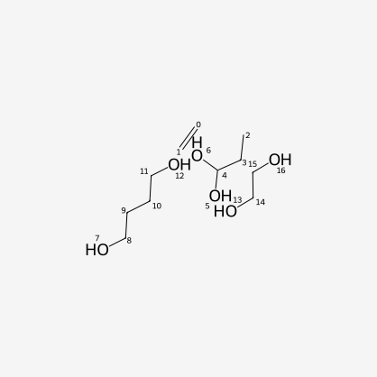 C=C.CCC(O)O.OCCCCO.OCCO